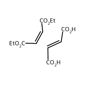 CCOC(=O)/C=C\C(=O)OCC.O=C(O)/C=C/C(=O)O